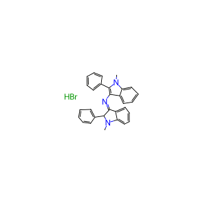 Br.CN1c2ccccc2C(=Nc2c(-c3ccccc3)n(C)c3ccccc23)C1c1ccccc1